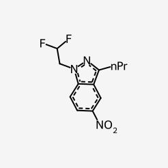 CCCc1nn(CC(F)F)c2ccc([N+](=O)[O-])cc12